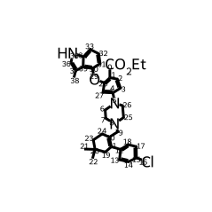 CCOC(=O)c1ccc(N2CCN(CC3=C(c4ccc(Cl)cc4)CC(C)(C)CC3)CC2)cc1Oc1cccc2[nH]cc(C)c12